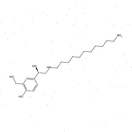 NCCCCCCCCCCCNC[C@H](O)c1ccc(O)c(CO)c1